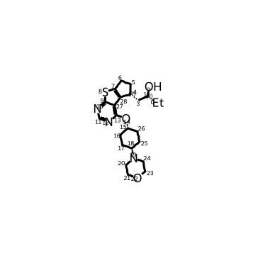 CC[C@@H](O)C[C@H]1CCc2sc3ncnc(O[C@H]4CC[C@H](N5CCOCC5)CC4)c3c21